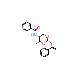 C=C(C[C@H]1OC[C@@H](NC(=O)c2ccccc2)[C@H](C)O1)c1ccccc1